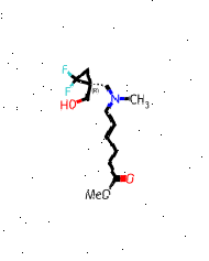 COC(=O)CCCCCN(C)C[C@@]1(CO)CC1(F)F